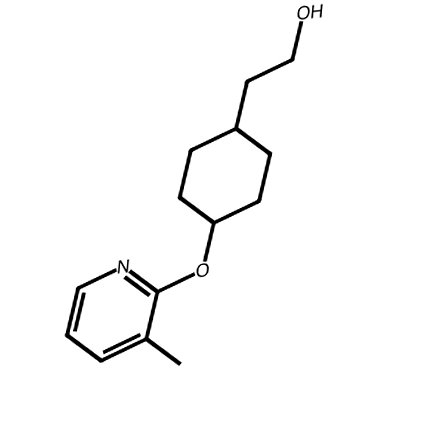 Cc1cccnc1OC1CCC(CCO)CC1